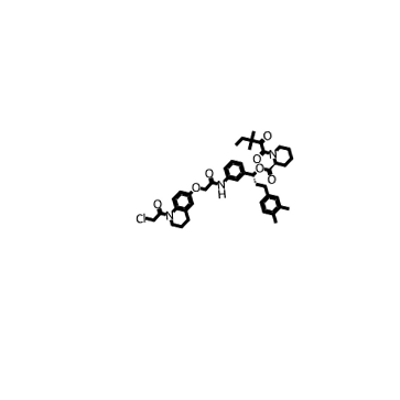 CCC(C)(C)C(=O)C(=O)N1CCCC[C@H]1C(=O)O[C@H](CCc1ccc(C)c(C)c1)c1cccc(NC(=O)COc2ccc3c(c2)CCCN3C(=O)CCl)c1